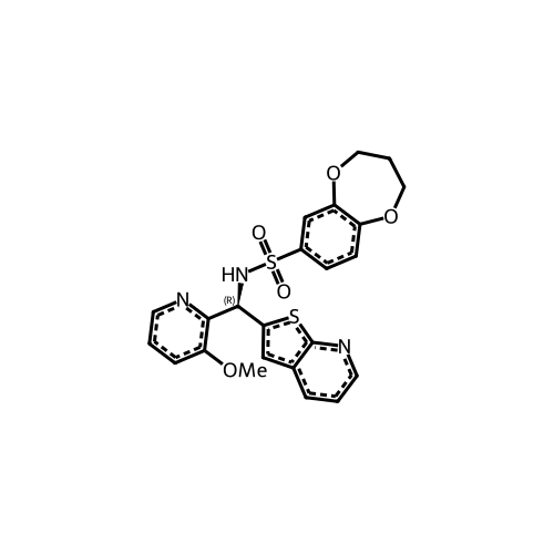 COc1cccnc1[C@@H](NS(=O)(=O)c1ccc2c(c1)OCCCO2)c1cc2cccnc2s1